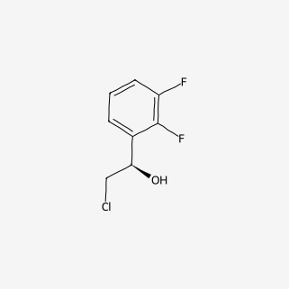 O[C@@H](CCl)c1cccc(F)c1F